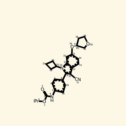 CC(C)OC(=O)Nc1ccc(-c2c(C#N)c3ccc(O[C@@H]4CCOC4)cc3n2C2CCC2)cc1